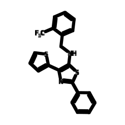 FC(F)(F)c1ccccc1CNc1sc(-c2ccccc2)nc1-c1cccs1